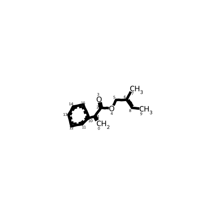 C=C(C(=O)OCC(C)=CC)c1ccccc1